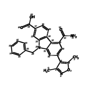 Cc1noc(C)c1-c1cc(C(N)=O)c2c3ccc(C(=O)O)cc3n(Cc3ccccc3)c2c1